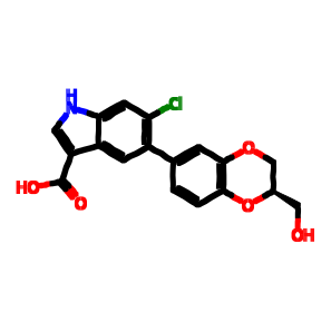 O=C(O)c1c[nH]c2cc(Cl)c(-c3ccc4c(c3)OC[C@@H](CO)O4)cc12